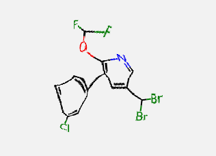 FC(F)Oc1ncc(C(Br)Br)cc1-c1cccc(Cl)c1